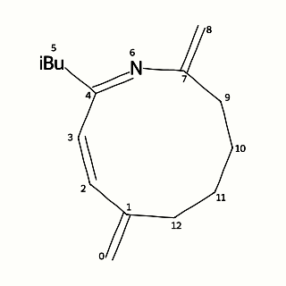 C=C1/C=C\C(C(C)CC)=N/C(=C)CCCC1